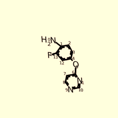 Nc1ccc(Oc2ccncn2)cc1F